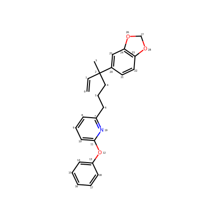 C=CC(C)(CCCc1cccc(Oc2ccccc2)n1)c1ccc2c(c1)OCO2